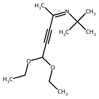 CCOC(C#C/C(C)=N\C(C)(C)C)OCC